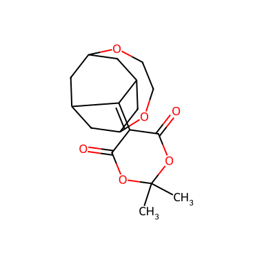 CC1(C)OC(=O)C(=C2C3CC4CC2CC(C3)OCCO4)C(=O)O1